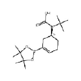 CC(C)(C)N(C(=O)O)[C@H]1CCC=C(B2OC(C)(C)C(C)(C)O2)C1